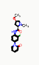 CO[C@@H]1C[C@H](C(=O)Nc2ccc(-n3ccccc3=O)cc2F)N(C)C1